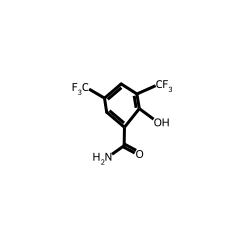 NC(=O)c1cc(C(F)(F)F)cc(C(F)(F)F)c1O